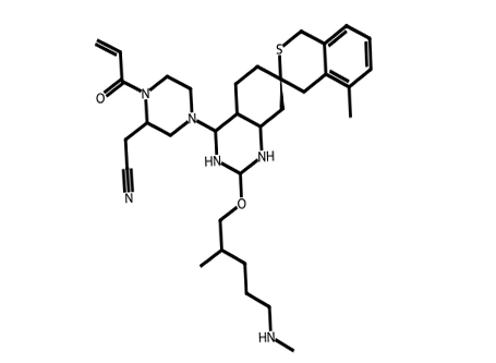 C=CC(=O)N1CCN(C2NC(OCC(C)CCCNC)NC3C[C@]4(CCC32)Cc2c(C)cccc2CS4)CC1CC#N